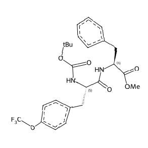 COC(=O)[C@H](Cc1ccccc1)NC(=O)[C@H](Cc1ccc(OC(F)(F)F)cc1)NC(=O)OC(C)(C)C